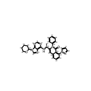 C[C@H](Nc1ncnc2c1ncn2C1CCCCO1)c1cc2cccc(-n3cccn3)c2c(=O)n1-c1ccccc1